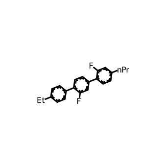 CCCc1ccc(-c2ccc(-c3ccc(CC)cc3)c(F)c2)c(F)c1